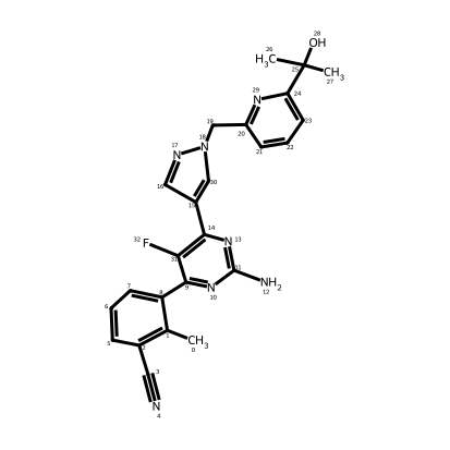 Cc1c(C#N)cccc1-c1nc(N)nc(-c2cnn(Cc3cccc(C(C)(C)O)n3)c2)c1F